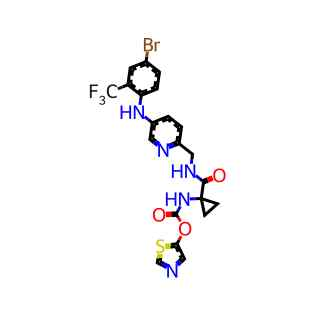 O=C(NC1(C(=O)NCc2ccc(Nc3ccc(Br)cc3C(F)(F)F)cn2)CC1)Oc1cncs1